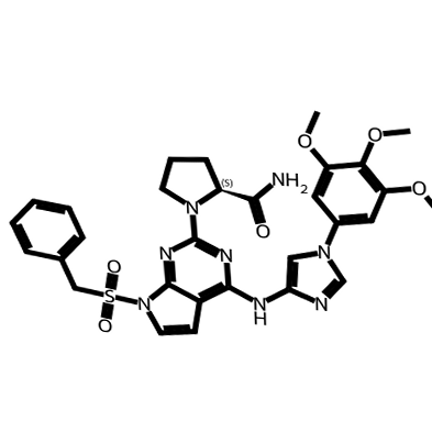 COc1cc(-n2cnc(Nc3nc(N4CCC[C@H]4C(N)=O)nc4c3ccn4S(=O)(=O)Cc3ccccc3)c2)cc(OC)c1OC